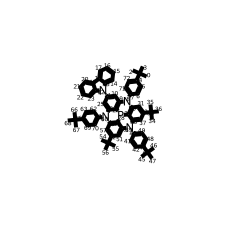 CC(C)(C)c1ccc(N2c3cc(-n4c5ccccc5c5ccccc54)cc4c3P3c5c2cc(C(C)(C)C)cc5N(c2ccc(C(C)(C)C)cc2)c2cc(C(C)(C)C)cc(c23)N4c2ccc(C(C)(C)C)cc2)cc1